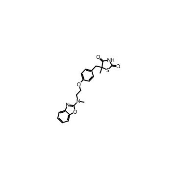 CN(CCOc1ccc(CC2(C)SC(=O)NC2=O)cc1)c1nc2ccccc2o1